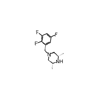 C[C@@H]1CN(Cc2cc(F)cc(F)c2F)C[C@H](C)N1